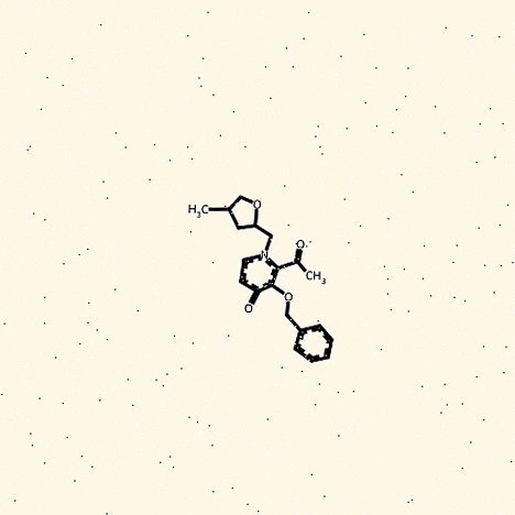 CC(=O)c1c(OCc2ccccc2)c(=O)ccn1CC1CC(C)CO1